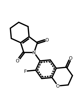 O=C1CCOc2cc(F)c(N3C(=O)C4=C(CCCC4)C3=O)cc21